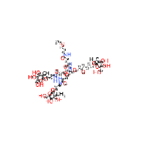 CC(C)OCCCNC(=O)CCCC(=O)NC(COCCC(=O)CCCCO[C@@H]1OC(CO)[C@H](O)C(O)[C@@H]1C)(COCCC(=O)NCCCO[C@@H]1OC(CO)[C@H](O)C(O)[C@@H]1C)COCCC(=O)NCCCO[C@@H]1OC(CO)[C@H](O)C(O)[C@@H]1C